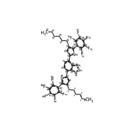 CCCCCCc1cc(-c2ccc(-c3cc(CCCCCC)c(-c4c(F)c(F)c(F)c(F)c4F)s3)c3nsnc23)sc1-c1c(F)c(F)c(F)c(F)c1F